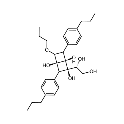 CCCOC1C(c2ccc(CCC)cc2)[C@@]2(O)[C@]1(O)C(c1ccc(CCC)cc1)[C@@]2(O)[C@H](O)CO